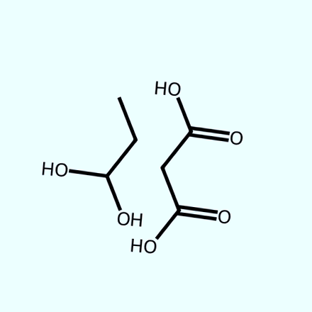 CCC(O)O.O=C(O)CC(=O)O